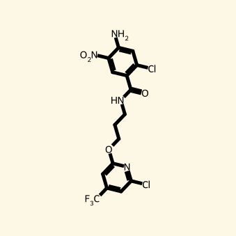 Nc1cc(Cl)c(C(=O)NCCCOc2cc(C(F)(F)F)cc(Cl)n2)cc1[N+](=O)[O-]